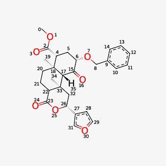 COC(=O)[C@@H]1C[C@H](OCc2ccccc2)C(=O)[C@H]2[C@@]1(C)CCC1C(=O)O[C@@H](c3ccoc3)C[C@@]12C